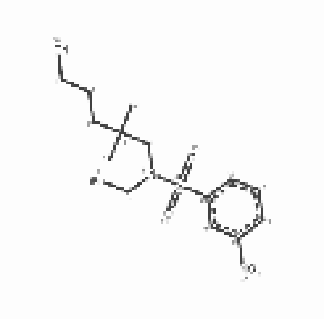 CC(C)CN(CC(C)(C)CCCC#N)S(=O)(=O)c1cccc([N+](=O)[O-])c1